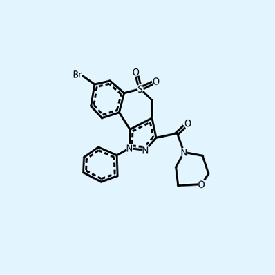 O=C(c1nn(-c2ccccc2)c2c1CS(=O)(=O)c1cc(Br)ccc1-2)N1CCOCC1